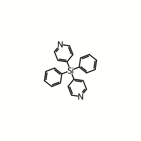 c1ccc([Si](c2ccccc2)(c2ccncc2)c2ccncc2)cc1